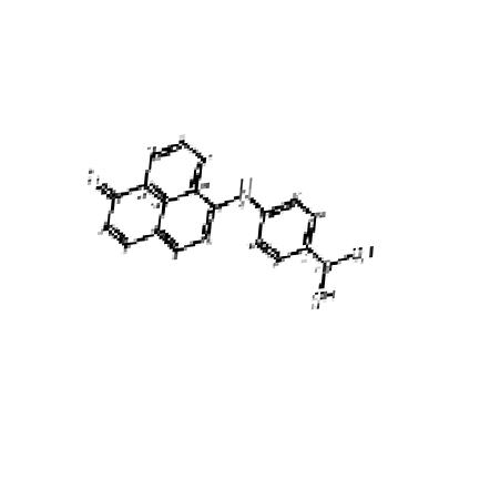 O=C1C=Cc2ccc(Nc3ccc(B(O)O)cc3)c3cccc1c23